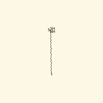 S=C(S)NCCCCCCCCCCCCCCCCCCCCCCCCCCCCCI